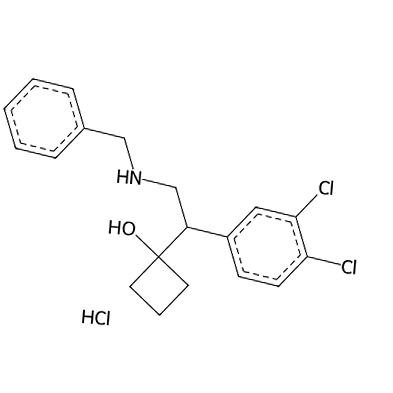 Cl.OC1(C(CNCc2ccccc2)c2ccc(Cl)c(Cl)c2)CCC1